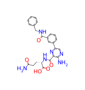 NC(=O)CC[C@H](NC(=O)c1nc(-c2cccc(C(=O)NCc3ccccc3)c2)cnc1N)C(=O)O